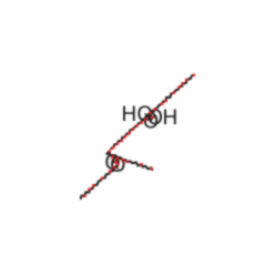 CCCCCCCCCCCCCCCCCCCCCC[C@@H](C(=O)O)[C@H](O)CCCCCCCCCCCCCCCCCC[C@H]1C[C@@H]1[C@@H](C)CC(CCCCCCCCCCCCCC)C(=O)O[C@@H](C)CCCCCCCCCCCCCCCCCC